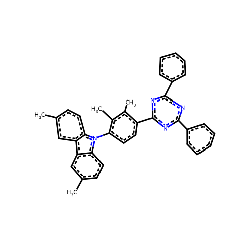 Cc1ccc2c(c1)c1cc(C)ccc1n2-c1ccc(-c2nc(-c3ccccc3)nc(-c3ccccc3)n2)c(C)c1C